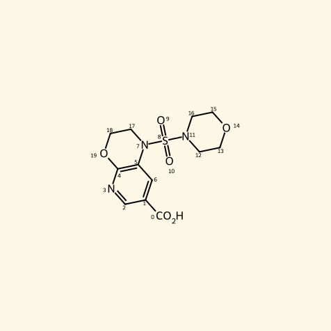 O=C(O)c1cnc2c(c1)N(S(=O)(=O)N1CCOCC1)CCO2